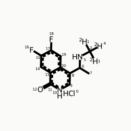 Cl.[2H]C([2H])([2H])NC(C)c1c[nH]c(=O)c2cc(F)c(F)cc12